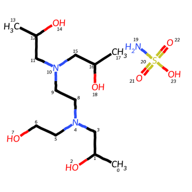 CC(O)CN(CCO)CCN(CC(C)O)CC(C)O.NS(=O)(=O)O